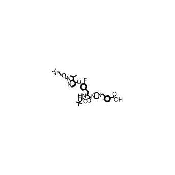 Cc1cn(COCC[Si](C)(C)C)c2nccc(Oc3ccc(CC(NC(=O)OC(C)(C)C)C(=O)N4CCN(Cc5cccc(C(=O)O)c5)CC4)cc3F)c12